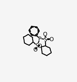 O=S(=O)(C1CCCCC1)P(c1ccccc1)S(=O)(=O)C1CCCCC1